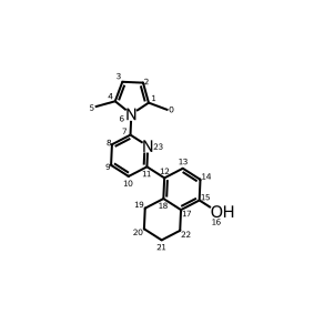 Cc1ccc(C)n1-c1cccc(-c2ccc(O)c3c2CCCC3)n1